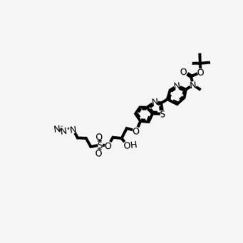 CN(C(=O)OC(C)(C)C)c1ccc(-c2nc3ccc(OCC(O)COS(=O)(=O)CCCN=[N+]=[N-])cc3s2)cn1